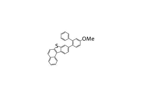 COc1ccc(-c2ccc3c(c2)sc2ccc4ccccc4c23)c(-c2ccccc2)c1